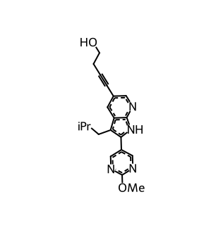 COc1ncc(-c2[nH]c3ncc(C#CCCO)cc3c2CC(C)C)cn1